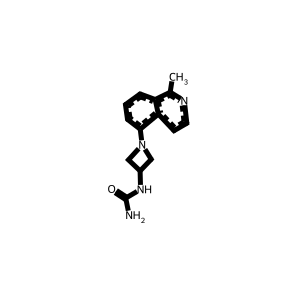 Cc1nccc2c(N3CC(NC(N)=O)C3)cccc12